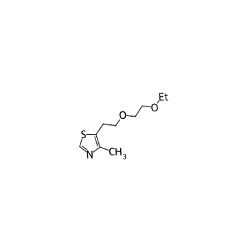 CCOCCOCCc1scnc1C